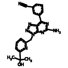 CC(C)(O)c1cccc(Cn2nnc3c(-c4cccc(C#N)c4)nc(N)nc32)n1